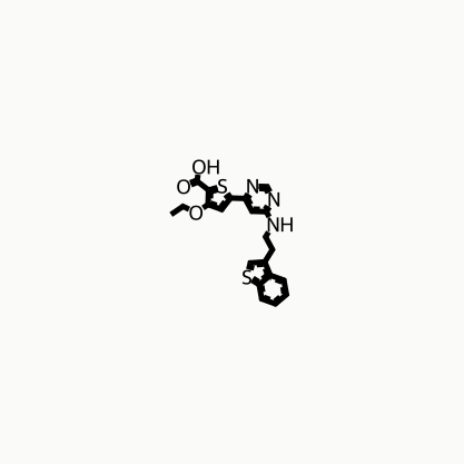 CCOc1cc(-c2cc(NCCc3csc4ccccc34)ncn2)sc1C(=O)O